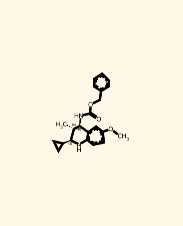 COc1ccc2c(c1)[C@H](NC(=O)OCc1ccccc1)[C@@H](C)[C@H](C1CC1)N2